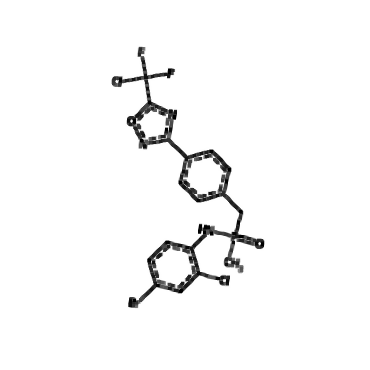 CP(=O)(Cc1ccc(-c2noc(C(F)(F)Cl)n2)cc1)Nc1ccc(Br)cc1Cl